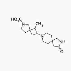 CC1C(N2CCC3(CC2)CNC(=O)C3)CC12CCN(C(=O)O)C2